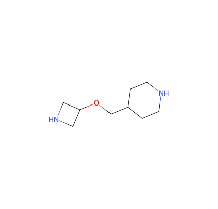 C1CC(COC2CNC2)CCN1